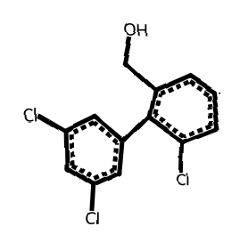 OCc1c[c]cc(Cl)c1-c1cc(Cl)cc(Cl)c1